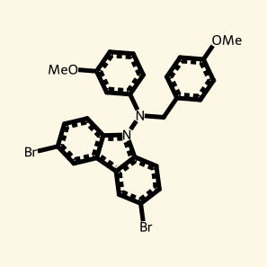 COc1ccc(CN(c2cccc(OC)c2)n2c3ccc(Br)cc3c3cc(Br)ccc32)cc1